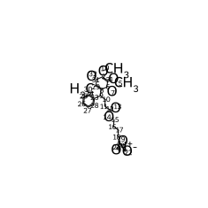 COC1=C(OC)C(=O)C(C(CCC(=O)OCCCCO[N+](=O)[O-])c2ccccc2)=C(C)C1=O